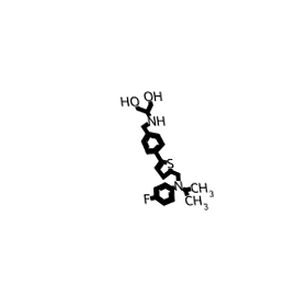 CC(C)N(CC1CC=C(c2ccc(CNC(CO)CO)cc2)S1)c1ccc(F)cc1